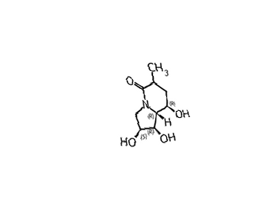 CC1C[C@@H](O)[C@@H]2[C@@H](O)[C@@H](O)CN2C1=O